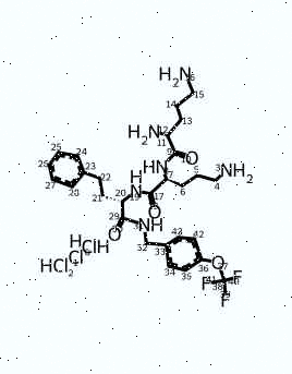 Cl.Cl.Cl.NCCC[C@H](NC(=O)[C@@H](N)CCCN)C(=O)N[C@@H](CCc1ccccc1)C(=O)NCc1ccc(OC(F)(F)F)cc1